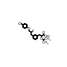 CC(C)OC(Cc1cccc(CC(F)COc2ccc(Cl)cc2)c1)C(=O)O